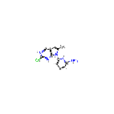 CC(C)c1cc2cnc(Cl)nc2n1-c1cccc(N)n1